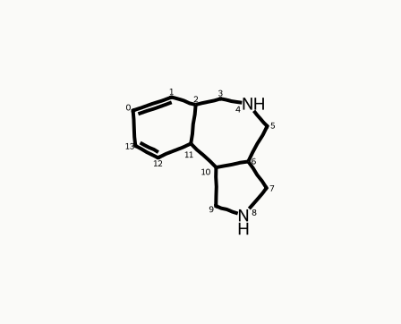 C1=CC2CNCC3CNCC3C2C=C1